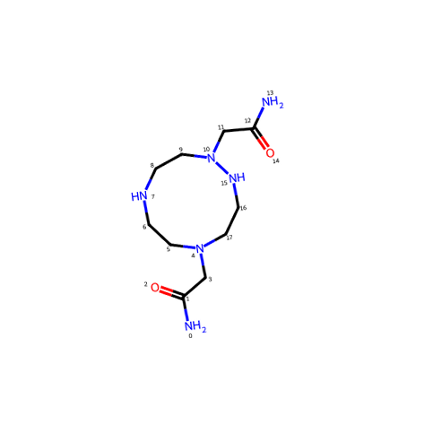 NC(=O)CN1CCNCCN(CC(N)=O)NCC1